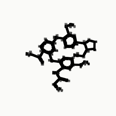 C=CC(=O)Nc1cc(OC)ccc1Oc1nc(Nc2ccc(N3CCCC3CO)cc2OC)ncc1C(N)=O